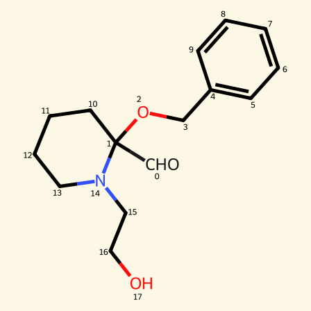 O=CC1(OCc2ccccc2)CCCCN1CCO